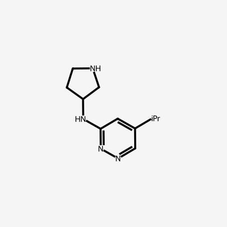 CC(C)c1cnnc(NC2CCNC2)c1